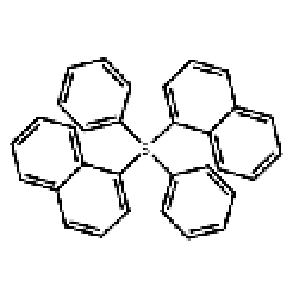 c1ccc([Si](c2ccccc2)(c2cccc3ccccc23)c2cccc3ccccc23)cc1